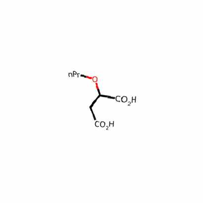 CCCOC(CC(=O)O)C(=O)O